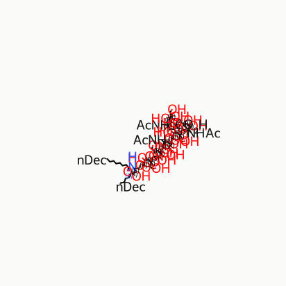 CCCCCCCCCCCCC/C=C/[C@@H](O)[C@H](CO[C@@H]1OC(CO)[C@@H](O[C@@H]2OC(CO)[C@H](O[C@@H]3OC(CO)[C@H](O)[C@H](O[C@@H]4OC(CO)[C@H](O[C@@H]5OC(CO)[C@H](O)[C@H](O)C5NC(C)=O)[C@H](O[C@]5(C(=O)O)CC(O)[C@@H](NC(C)=O)C([C@H](O)[C@H](O)CO)O5)C4O)C3NC(C)=O)[C@H](O)C2O)[C@H](O)C1O)NC(=O)CCCCCCCCCCCCCCCCC